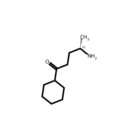 C[C@H](N)CCC(=O)C1CCCCC1